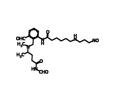 CC(CCC(=O)NC=O)N(C)Cc1c(C=O)cccc1NC(=O)CCCCCNCCCN=O